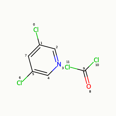 Clc1cncc(Cl)c1.O=C(Cl)Cl